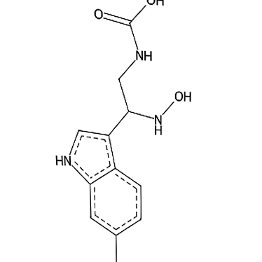 O=C(O)NCC(NO)c1c[nH]c2cc(I)ccc12